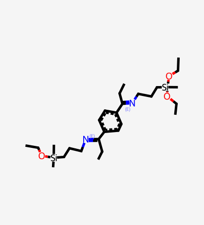 CCO[Si](C)(C)CCC/N=C(\CC)c1ccc(/C(CC)=N/CCC[Si](C)(OCC)OCC)cc1